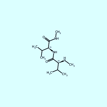 CNC(=O)[C@@H](NC(=O)[C@@H](NC)C(C)C)C(C)C